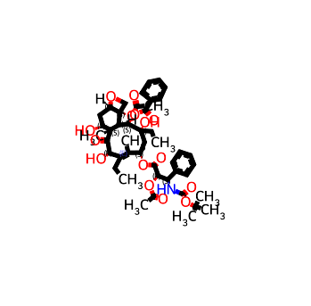 CC/C1=C(/C)[C@@H](OC(=O)[C@H](OC(C)=O)[C@@H](NC(=O)OC(C)(C)C)c2ccccc2)C[C@](O)(CC)[C@@H](OC(=O)c2ccccc2)[C@@H]2[C@]3(OC(C)=O)CO[C@@H]3C[C@H](O)[C@@]2(C)C(=O)[C@@H]1O